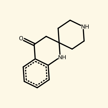 O=C1CC2(CCNCC2)Nc2ccccc21